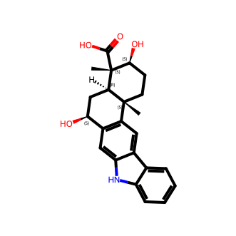 C[C@@]1(C(=O)O)[C@@H](O)CC[C@]2(C)c3cc4c(cc3[C@@H](O)C[C@@H]12)[nH]c1ccccc14